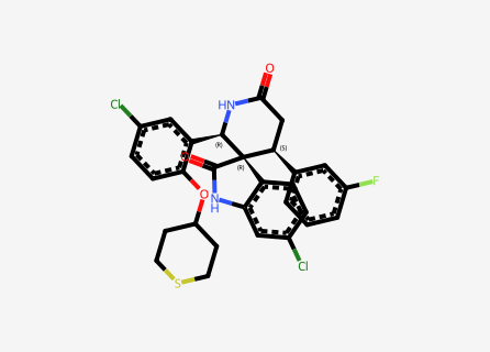 O=C1C[C@@H](c2cccc(F)c2)[C@]2(C(=O)Nc3cc(Cl)ccc32)[C@@H](c2cc(Cl)ccc2OC2CCSCC2)N1